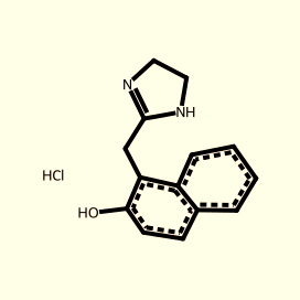 Cl.Oc1ccc2ccccc2c1CC1=NCCN1